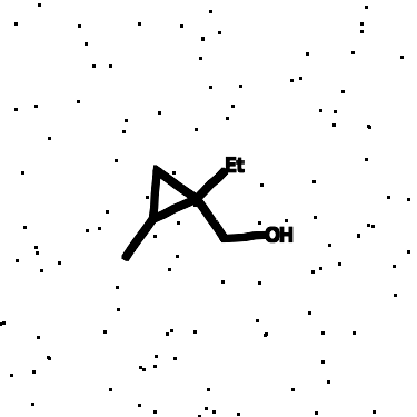 CCC1(CO)CC1C